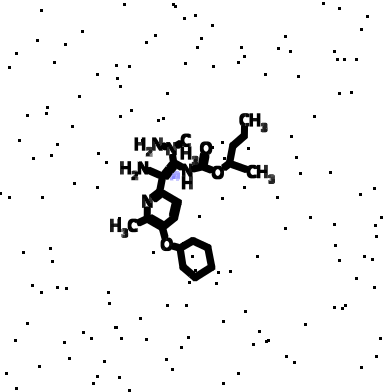 CCCC(C)OC(=O)N/C(=C(/N)c1ccc(OC2CCCCC2)c(C)n1)N(C)N